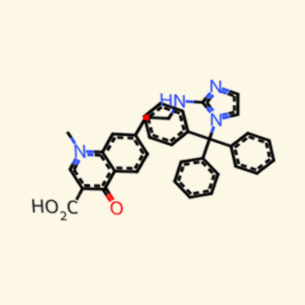 Cn1cc(C(=O)O)c(=O)c2ccc(CCNc3nccn3C(c3ccccc3)(c3ccccc3)c3ccccc3)cc21